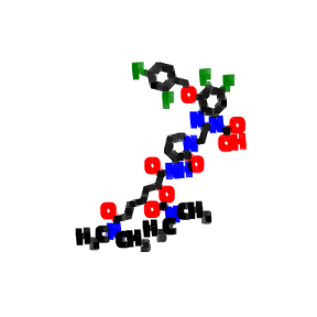 CN(C)C(=O)C=CCCC(OC(=O)N(C)C)C(=O)Nc1cccn(Cc2nc3c(OCc4ccc(F)cc4F)c(F)c(F)cc3n2C(=O)O)c1=O